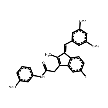 COc1[c]c(OC)cc(/C=C2/C(C)=C(CC(=O)Nc3cccc(OC)c3)c3cc(F)ccc32)c1